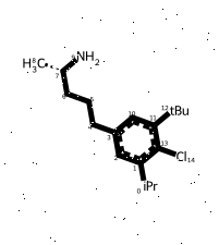 CC(C)c1cc(CCC[C@H](C)N)cc(C(C)(C)C)c1Cl